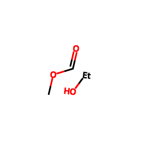 CCO.COC=O